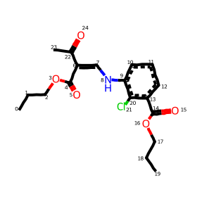 CCCOC(=O)C(=CNc1cccc(C(=O)OCCC)c1Cl)C(C)=O